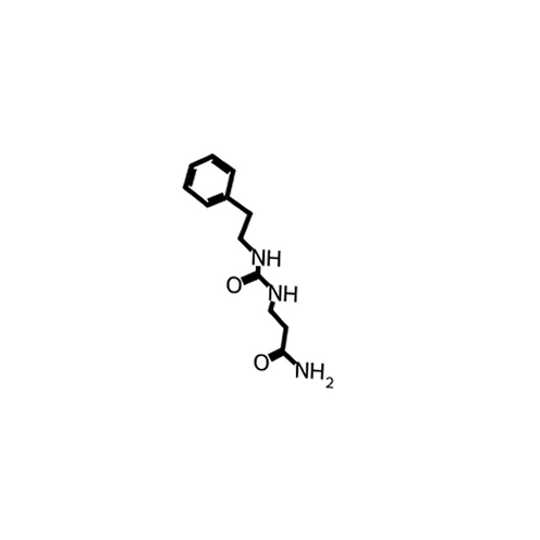 NC(=O)CCNC(=O)NCCc1ccccc1